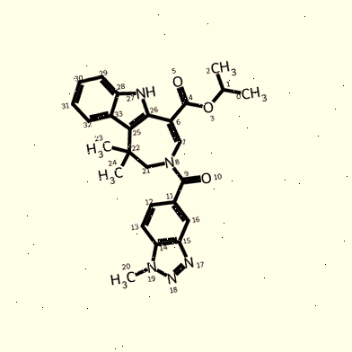 CC(C)OC(=O)C1=CN(C(=O)c2ccc3c(c2)nnn3C)CC(C)(C)c2c1[nH]c1ccccc21